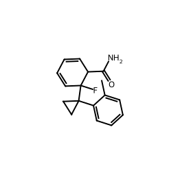 Cc1ccccc1C1(C2(F)C=CC=CC2C(N)=O)CC1